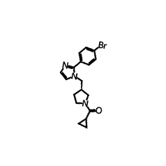 O=C(C1CC1)N1CC[C@@H](Cn2ccnc2-c2ccc(Br)cc2)C1